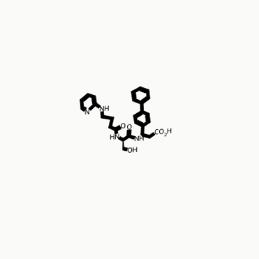 O=C(O)CC(NC(=O)[C@@H](CO)NC(=O)CCCNc1ccccn1)c1ccc(-c2ccccc2)cc1